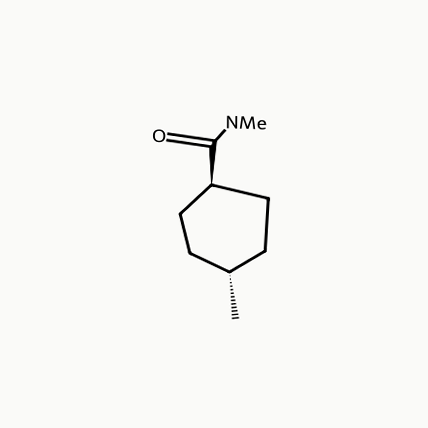 CNC(=O)[C@H]1CC[C@H](C)CC1